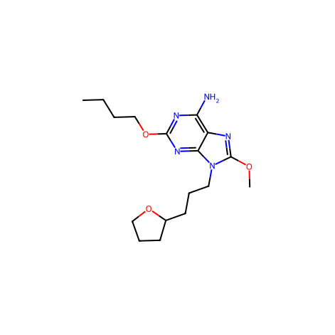 CCCCOc1nc(N)c2nc(OC)n(CCCC3CCCO3)c2n1